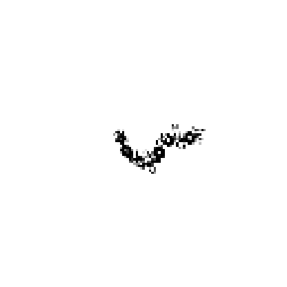 Cn1c(C(=O)N2CCN(Cc3ccc(-c4csnn4)cc3)CC2)cc2ccc(Oc3ccc(NC(=O)c4ccc(C(F)(F)F)cc4)cn3)cc21